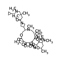 CO[C@]12C[C@@H](C)CN(C)C(C3CN(C(=O)CC(C)(C)CN(C)CC4CC4)C3)COC(=O)C(C)(C)C(=O)[C@H](C)[C@H]1O[C@@H]1O[C@H](C)C[C@H](N(C)C)[C@H]1O2